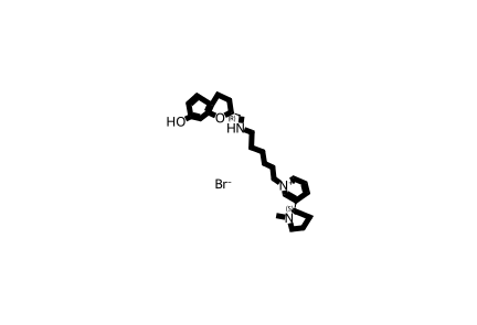 CN1CCC[C@H]1c1ccc[n+](CCCCCCNC[C@H]2CCc3ccc(O)cc3O2)c1.[Br-]